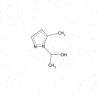 Cc1ccnn1C(C)O